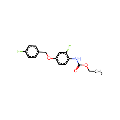 CCOC(=O)Nc1ccc(OCc2ccc(F)cc2)cc1F